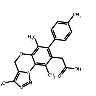 Cc1ccc(-c2c(C)c3c(c(C)c2CC(=O)O)-n2nnc(C)c2CO3)cc1